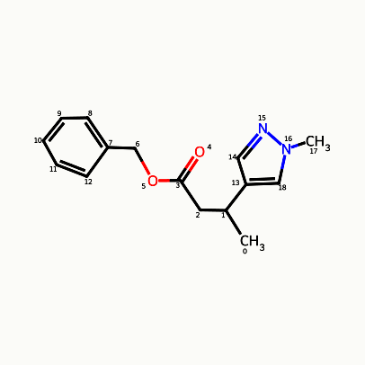 CC(CC(=O)OCc1ccccc1)c1cnn(C)c1